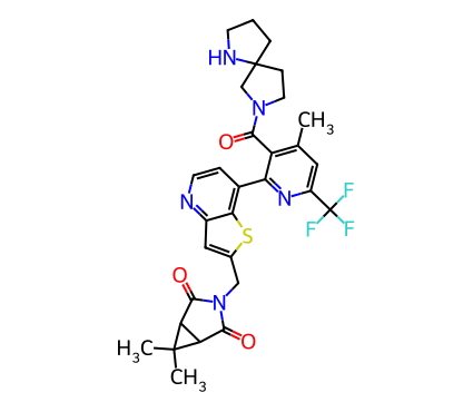 Cc1cc(C(F)(F)F)nc(-c2ccnc3cc(CN4C(=O)C5C(C4=O)C5(C)C)sc23)c1C(=O)N1CCC2(CCCN2)C1